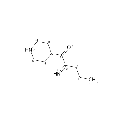 CCCC(=N)C(=O)C1CCNCC1